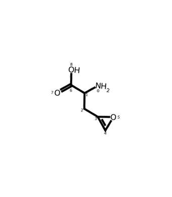 NC(CC1=CO1)C(=O)O